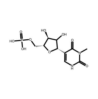 Cn1c(=O)[nH]cc([C@@H]2O[C@H](COP(=O)(O)O)[C@@H](O)C2O)c1=O